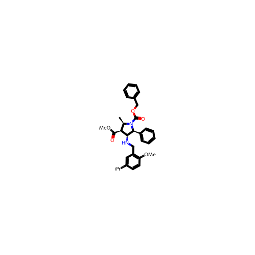 COC(=O)[C@@H]1[C@H](NCc2cc(C(C)C)ccc2OC)[C@H](c2ccccc2)N(C(=O)OCc2ccccc2)[C@@H]1C